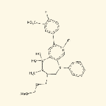 COCOCC1CN(c2ccccc2)c2cc(Cl)c(-c3ccc(F)c(C(=O)O)c3)cc2S(O)(O)N1C